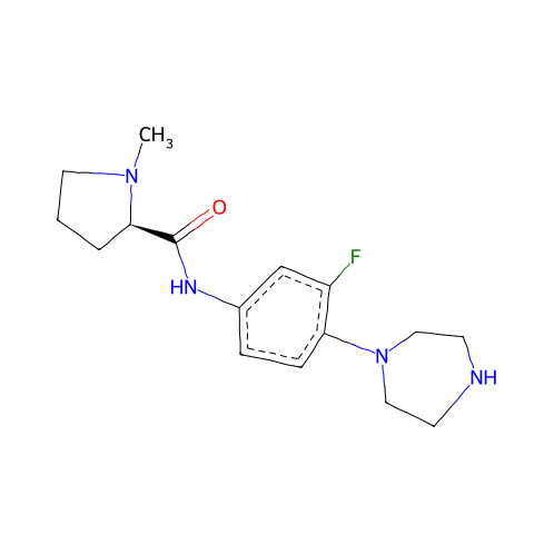 CN1CCC[C@@H]1C(=O)Nc1ccc(N2CCNCC2)c(F)c1